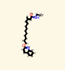 CC(C=CCCCCCCCCOc1ccc2ccccc2n1)=CC(=O)NCC(C)C